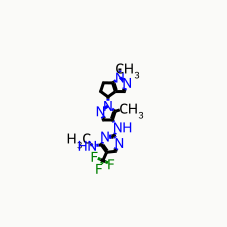 CNc1nc(Nc2cnn(C3CCc4c3cnn4C)c2C)ncc1C(F)(F)F